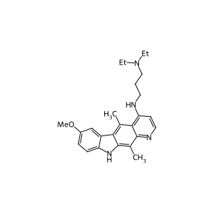 CCN(CC)CCCNc1ccnc2c(C)c3[nH]c4ccc(OC)cc4c3c(C)c12